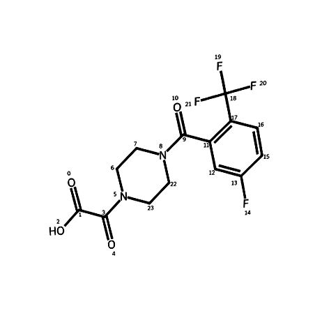 O=C(O)C(=O)N1CCN(C(=O)c2cc(F)ccc2C(F)(F)F)CC1